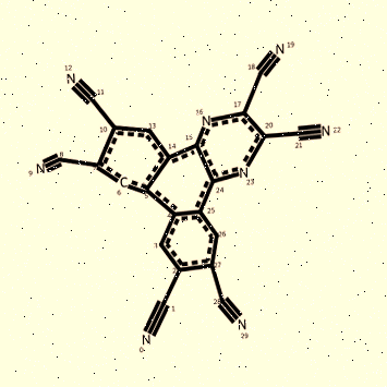 N#Cc1cc2c3cc(C#N)c(C#N)cc3c3nc(C#N)c(C#N)nc3c2cc1C#N